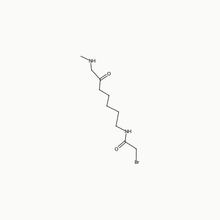 CNCC(=O)CCCCCNC(=O)CBr